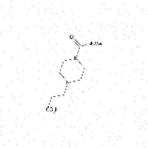 CNC(=O)N1CCN(CCC(=O)O)CC1